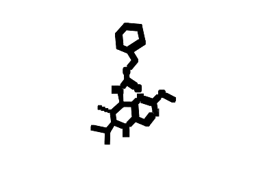 COc1ncc2c(n1)[C@H](NC(=O)OCc1ccccc1)[C@@H](C)[C@H](C(C)C)N2